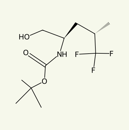 C[C@@H](C[C@H](CO)NC(=O)OC(C)(C)C)C(F)(F)F